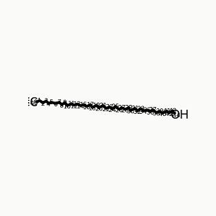 CCCCCCCCCCCCCCCCCCCCCCCCCCCCCCCCCCCCCCCCCCCCO.[C]